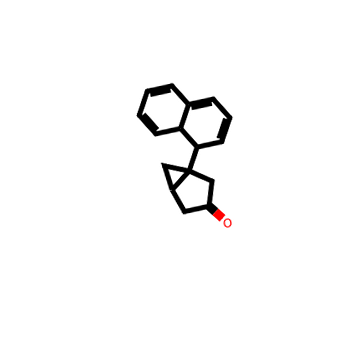 O=C1CC2CC2(C2C=CC=C3C=CC=CC32)C1